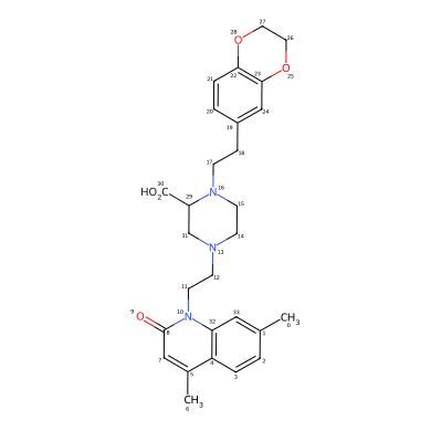 Cc1ccc2c(C)cc(=O)n(CCN3CCN(CCc4ccc5c(c4)OCCO5)C(C(=O)O)C3)c2c1